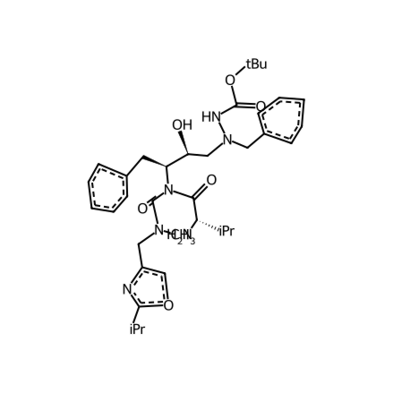 CC(C)c1nc(CN(C)C(=O)N(C(=O)[C@@H](N)C(C)C)[C@@H](Cc2ccccc2)[C@@H](O)CN(Cc2ccccc2)NC(=O)OC(C)(C)C)co1